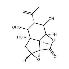 C=C(C)[C@@H]1C(O)[C@H]2OC(=O)[C@@]34O[C@@H]3C[C@@](O)(C1C=O)[C@@]24C